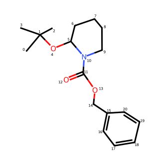 CC(C)(C)OC1CCCCN1C(=O)OCc1ccccc1